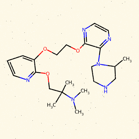 CC1CNCCN1c1nccnc1OCCOc1cccnc1OCC(C)(C)N(C)C